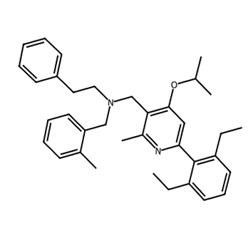 CCc1cccc(CC)c1-c1cc(OC(C)C)c(CN(CCc2ccccc2)Cc2ccccc2C)c(C)n1